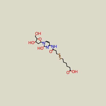 O=C(O)CCCCCSSCCC(=O)NC1=NC(O)N(C2CC(O)C(CO)O2)C=C1